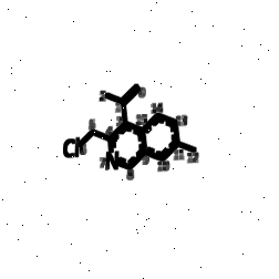 C=C(C)c1c(CCl)ncc2cc(C)ccc12